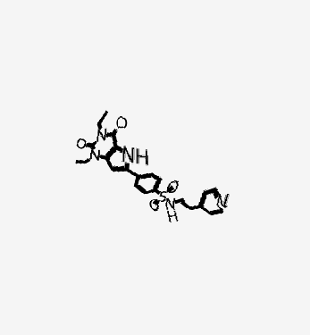 CCn1c(=O)c2[nH]c(-c3ccc(S(=O)(=O)NCCc4ccncc4)cc3)cc2n(CC)c1=O